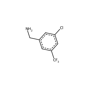 NCc1cc(Cl)cc(C(F)(F)F)c1